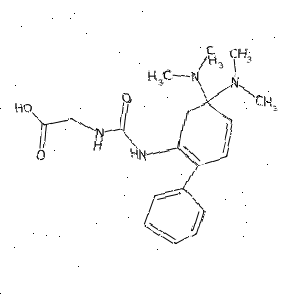 CN(C)C1(N(C)C)C=CC(c2ccccc2)=C(NC(=O)NCC(=O)O)C1